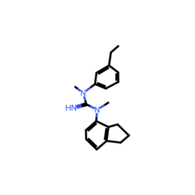 CCc1cccc(N(C)C(=N)N(C)c2cccc3c2CCC3)c1